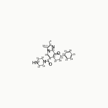 Cc1nc2c3c(c(C(=O)N4CCNCC4)cn2c1C)CCC(c1ccccc1)O3